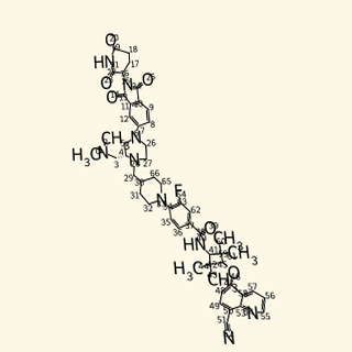 CN(C)C[C@@H]1CN(c2ccc3c(c2)C(=O)N(C2CCC(=O)NC2=O)C3=O)CCN1CC1CCN(c2ccc(C(=O)NC3C(C)(C)C(Oc4ccc(C#N)c5ncccc45)C3(C)C)cc2F)CC1